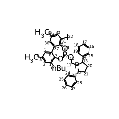 CCCCc1cc(C)cc2c1op(OCP1C(c3ccccc3)CC[C@@H]1c1ccccc1)oc1c(I)cc(C)cc12